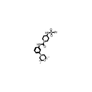 CC(C)S(=O)(=O)NC1CCN(C(=O)Nc2cccc(N3C[C@@H](C)O[C@@H](C)C3)c2)CC1